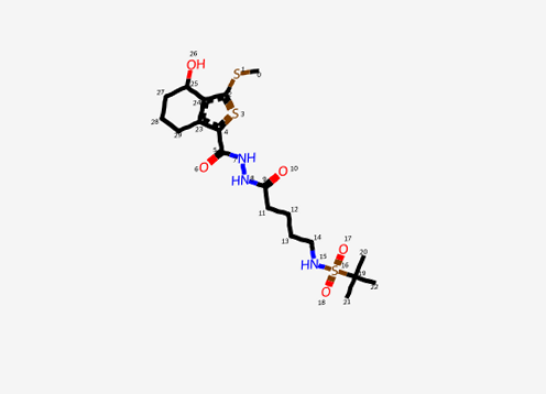 CSc1sc(C(=O)NNC(=O)CCCCNS(=O)(=O)C(C)(C)C)c2c1C(O)CCC2